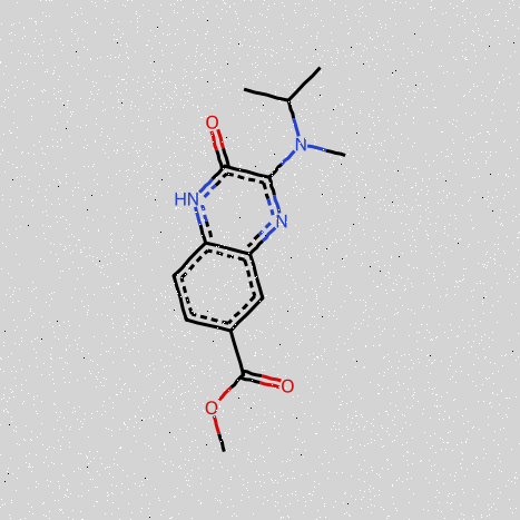 COC(=O)c1ccc2[nH]c(=O)c(N(C)C(C)C)nc2c1